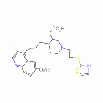 COc1ccc2ncc(F)c(CCCC3CCN(CCSc4nccs4)CC3CC(=O)O)c2c1